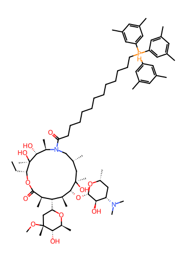 CC[C@H]1OC(=O)[C@H](C)[C@@H](C2C[C@@](C)(OC)[C@@H](O)[C@H](C)O2)[C@H](C)[C@@H](O[C@@H]2O[C@H](C)C[C@H](N(C)C)[C@H]2O)[C@](C)(O)C[C@@H](C)CN(C(=O)CCCCCCCCCCCC[PH](c2cc(C)cc(C)c2)(c2cc(C)cc(C)c2)c2cc(C)cc(C)c2)[C@H](C)[C@@H](O)[C@]1(C)O